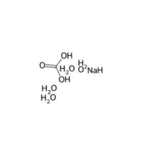 O.O.O.O.O=C(O)O.[NaH]